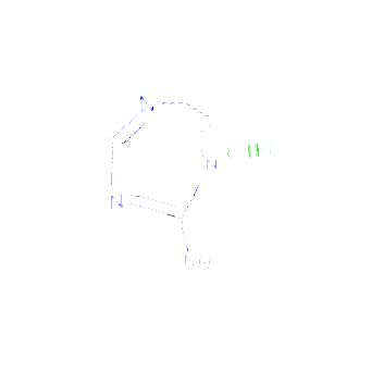 Cl.Nc1ncncn1